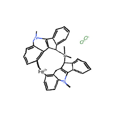 Cn1c2c3c4[c](cccc41)[Hf+2][c]1cccc4c1c1c(n4C)-c4ccccc4C1[Si](C)(C)C3c1ccccc1-2.[Cl-].[Cl-]